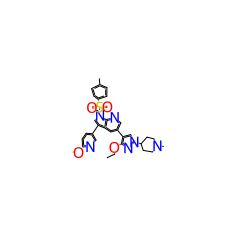 CCOc1nn(C2CCN(C)CC2)cc1-c1cnc2c(c1)c(-c1ccc(OC)nc1)cn2S(=O)(=O)c1ccc(C)cc1